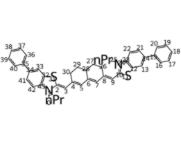 CCCN1/C(=C/C2=CC3=C/C(=C/c4sc5cc(-c6ccccc6)ccc5[n+]4CCC)CCC3CC2)Sc2cc(-c3ccccc3)ccc21